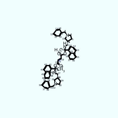 C[C@@](NC[C@H]1CCN(Cc2ccccc2)C1)(OC(=O)/C=C/C(=O)O[C@@](C)(NC[C@H]1CCN(Cc2ccccc2)C1)c1cccc2ccccc12)c1cccc2ccccc12